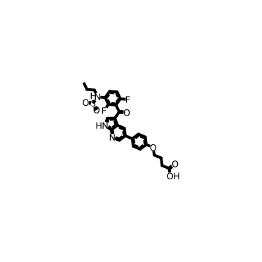 CCCN(c1ccc(F)c(C(=O)c2c[nH]c3ncc(-c4ccc(OCCCC(=O)O)cc4)cc23)c1F)[SH](=O)=O